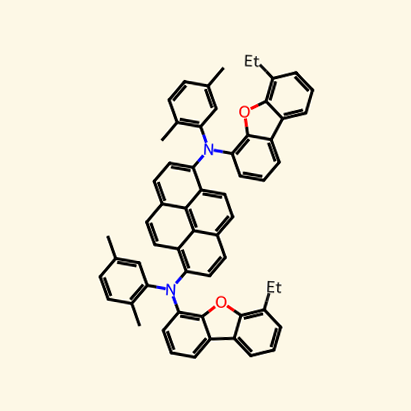 CCc1cccc2c1oc1c(N(c3cc(C)ccc3C)c3ccc4ccc5c(N(c6cc(C)ccc6C)c6cccc7c6oc6c(CC)cccc67)ccc6ccc3c4c65)cccc12